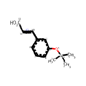 C[Si](C)(C)Oc1cccc(/C=C/C(=O)O)c1